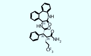 NC(=O)[C@H](CCC(F)(F)F)[C@@H](C(=O)N[C@@H]1C(=O)Nc2ccccc2-c2ccccc21)c1ccccc1